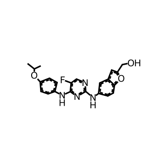 CC(C)Oc1ccc(Nc2nc(Nc3ccc4oc(CO)cc4c3)ncc2F)cc1